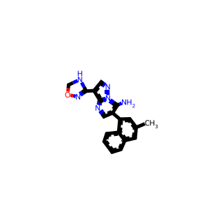 Cc1cc(-c2cnc3c(C4=NOCN4)cnn3c2N)c2ccccc2c1